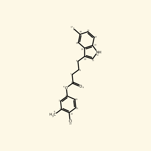 Cc1cc(OC(=O)CCCc2c[nH]c3ccc(I)cc23)ccc1Cl